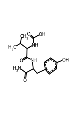 CC(C)C(NC(=O)O)C(=O)NC(Cc1ccc(O)cc1)C(N)=O